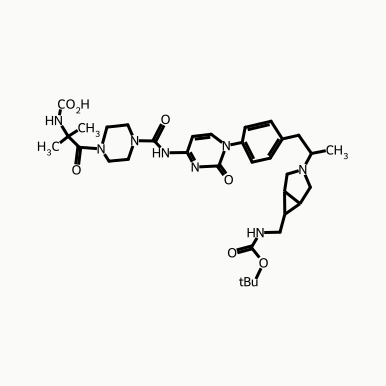 CC(Cc1ccc(-n2ccc(NC(=O)N3CCN(C(=O)C(C)(C)NC(=O)O)CC3)nc2=O)cc1)N1CC2C(CNC(=O)OC(C)(C)C)C2C1